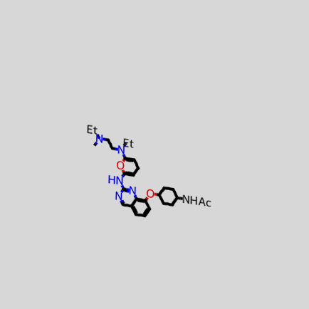 CCN(C)CCN(CC)C1=CCC=C(Nc2ncc3cccc(OC4CCC(NC(C)=O)CC4)c3n2)O1